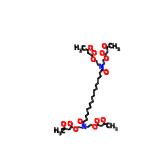 CC(=O)CC(=O)OCCN(CCOC(=O)CC(C)=O)C(=O)CCCCCCCCCCCCCCCCC(=O)N(CCOC(=O)CC(C)=O)CCOC(=O)CC(C)=O